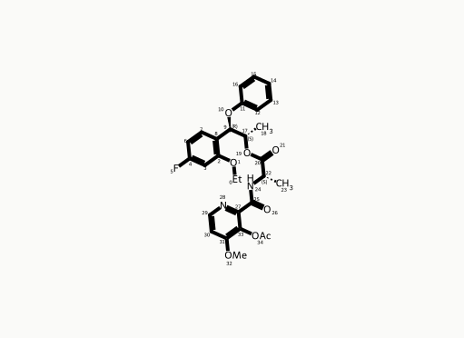 CCOc1cc(F)ccc1[C@@H](Oc1ccccc1)[C@H](C)OC(=O)[C@H](C)NC(=O)c1nccc(OC)c1OC(C)=O